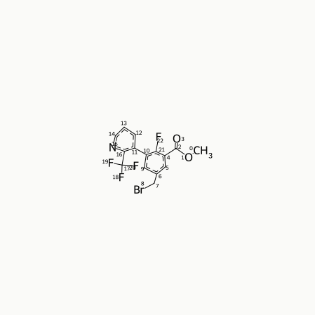 COC(=O)c1cc(CBr)cc(-c2cccnc2C(F)(F)F)c1F